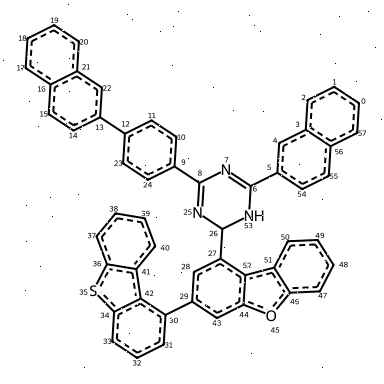 c1ccc2cc(C3=NC(c4ccc(-c5ccc6ccccc6c5)cc4)=NC(c4cc(-c5cccc6sc7ccccc7c56)cc5oc6ccccc6c45)N3)ccc2c1